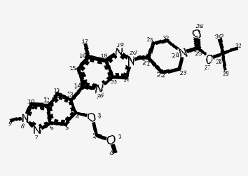 COCOc1cc2nn(C)cc2cc1-c1cc(C)c2nn(C3CCN(C(=O)OC(C)(C)C)CC3)cc2n1